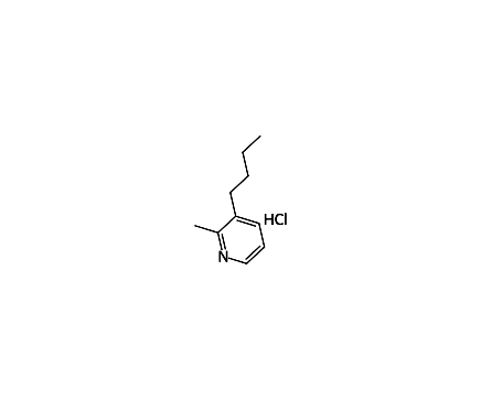 CCCCc1cccnc1C.Cl